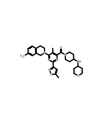 Cc1cc(-c2nc(C(=O)N3CCC(NC4CCOCC4)CC3)c(C)c(N3CCc4ccc(C(F)(F)F)cc4C3)n2)no1